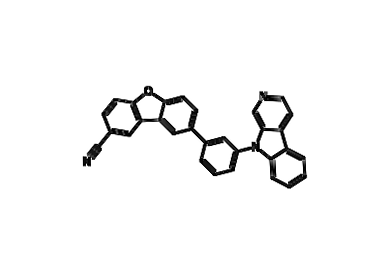 N#Cc1ccc2oc3ccc(-c4cccc(-n5c6ccccc6c6ccncc65)c4)cc3c2c1